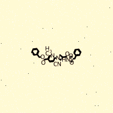 Cc1nc(N2CC(C(=O)NS(=O)(=O)Cc3ccccc3)C2)c(C#N)cc1C(=O)OCc1ccccc1